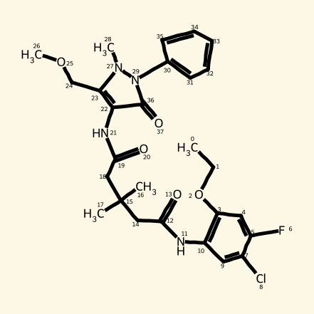 CCOc1cc(F)c(Cl)cc1NC(=O)CC(C)(C)CC(=O)Nc1c(COC)n(C)n(-c2ccccc2)c1=O